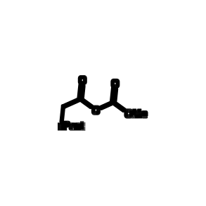 CCCCCCC(=O)OC(=O)OC